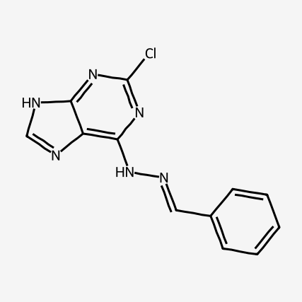 Clc1nc(NN=Cc2ccccc2)c2nc[nH]c2n1